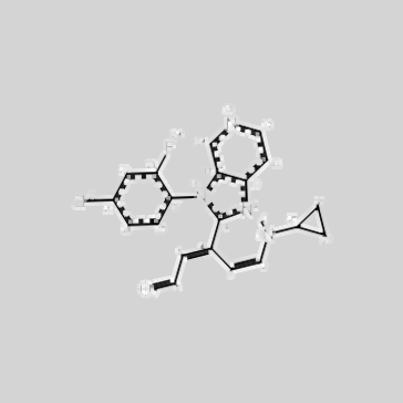 CN(/C=C\C(=C/C=O)c1nc2ccncc2n1-c1ccc(Cl)cc1F)C1CC1